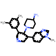 Cc1cc(C)cc(-c2cncc(-c3ccc4c(c3)ncn4C)c2N2CCC(N)CC2)c1